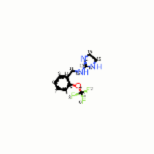 FC(F)(F)Oc1ccccc1CNC1=NCCN1